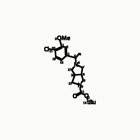 COc1cc(C(C)N2CC3CN(C(=O)OC(C)(C)C)CC3C2)ccc1Cl